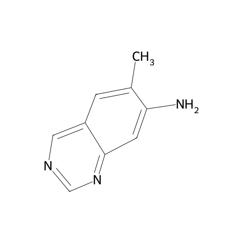 Cc1cc2cncnc2cc1N